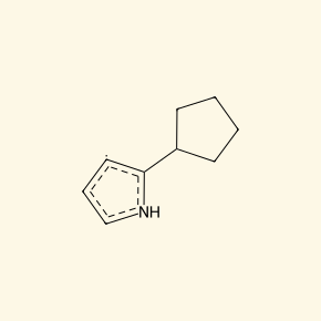 [c]1cc[nH]c1C1CCCC1